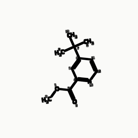 COC(=O)c1cc(C(C)(C)C)ccn1